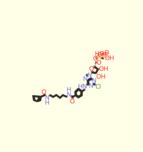 O=C(NCCCCCCNC(=O)C1CC2C=CC1C2)c1ccc(CNc2nc(Cl)nc3c2ncn3[C@@H]2O[C@H](COP(=O)(O)CP(=O)(O)O)C(O)C2O)cc1